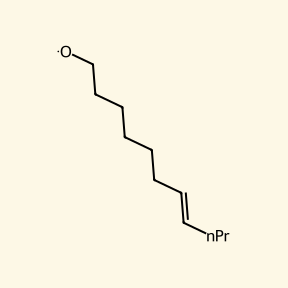 CCCC=CCCCCCC[O]